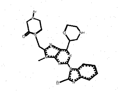 CCc1nc2ccccc2n1-c1nc(C2CNCCO2)c2nc(CN3CCN(C(C)=O)CC3=O)n(C)c2n1